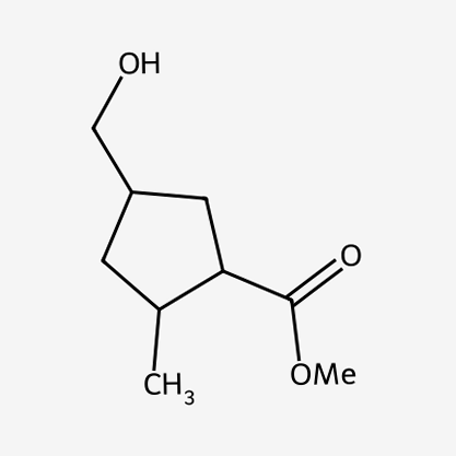 COC(=O)C1CC(CO)CC1C